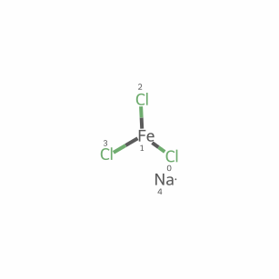 [Cl][Fe]([Cl])[Cl].[Na]